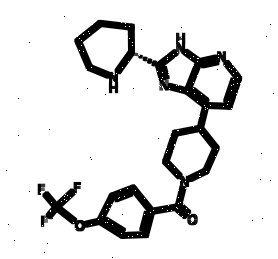 O=C(c1ccc(OC(F)(F)F)cc1)N1CCC(c2ccnc3[nH]c([C@H]4CCCCN4)nc23)CC1